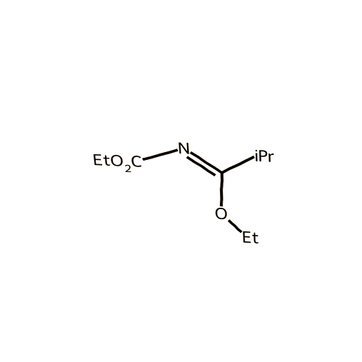 CCOC(=O)N=C(OCC)C(C)C